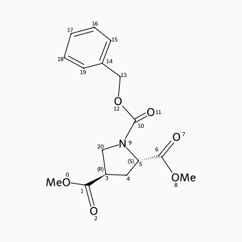 COC(=O)[C@@H]1C[C@@H](C(=O)OC)N(C(=O)OCc2ccccc2)C1